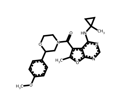 COc1ccc(C2CN(C(=O)c3c(C)oc4ncnc(NC5(C)CC5)c34)CCO2)cc1